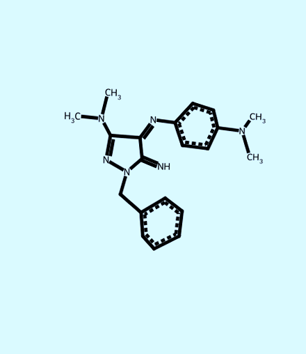 CN(C)C1=NN(Cc2ccccc2)C(=N)C1=Nc1ccc(N(C)C)cc1